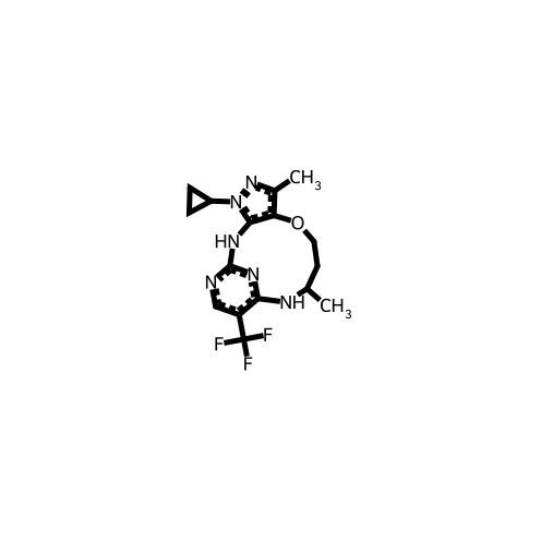 Cc1nn(C2CC2)c2c1OCCC(C)Nc1nc(ncc1C(F)(F)F)N2